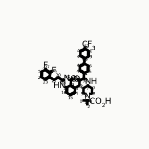 CC(C)(C(=O)O)N1CCC(NC(C(=O)Cc2cccc3[nH]c(CCc4cccc(F)c4F)nc(=O)c23)c2ccc(-c3ccc(C(F)(F)F)cc3)cc2)CC1